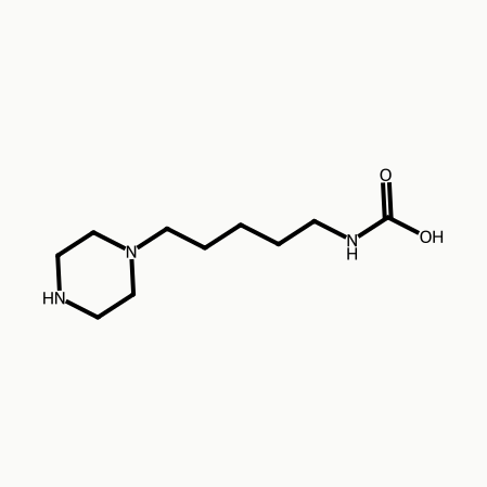 O=C(O)NCCCCCN1CCNCC1